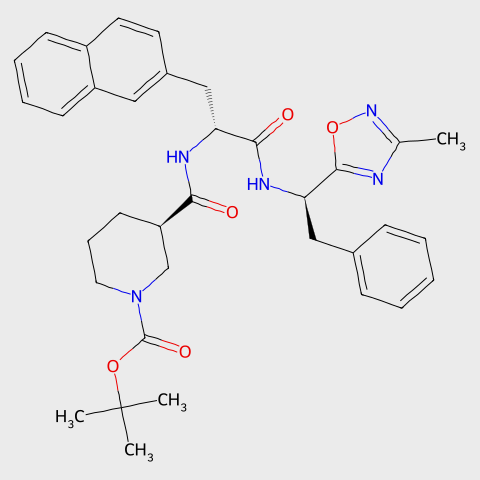 Cc1noc([C@@H](Cc2ccccc2)NC(=O)[C@@H](Cc2ccc3ccccc3c2)NC(=O)[C@@H]2CCCN(C(=O)OC(C)(C)C)C2)n1